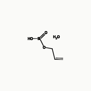 C=CCO[Si](=O)O.O